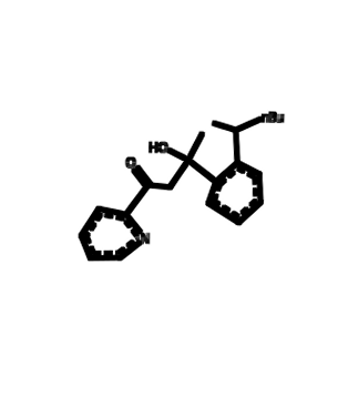 CCCCC(C)c1ccccc1C(C)(O)CC(=O)c1ccccn1